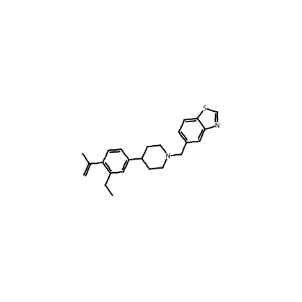 C=C(C)c1ccc(C2CCN(Cc3ccc4scnc4c3)CC2)cc1CC